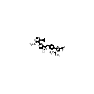 COc1ncnc(C2CC2)c1-c1ncc2[nH]nc(Cc3ccc(-c4nc(C(F)(F)F)cn4C(C)C)cc3)c2n1